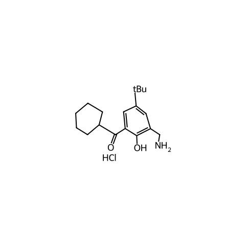 CC(C)(C)c1cc(CN)c(O)c(C(=O)C2CCCCC2)c1.Cl